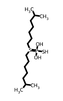 CC(C)CCCCCS(CCCCCC(C)C)=P(O)(O)S